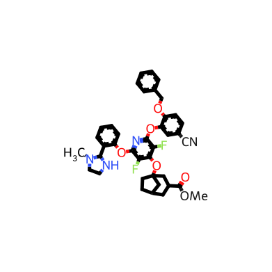 COC(=O)C1CC2CCC(Oc3c(F)c(Oc4cc(C#N)ccc4OCc4ccccc4)nc(Oc4ccccc4C4NCCN4C)c3F)(C2)C1